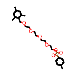 Cc1ccc(S(=O)(=O)OCCOCCOCCOCCOCc2c(C)cc(C)cc2C)cc1